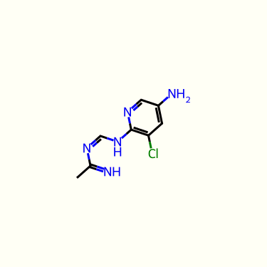 CC(=N)/N=C\Nc1ncc(N)cc1Cl